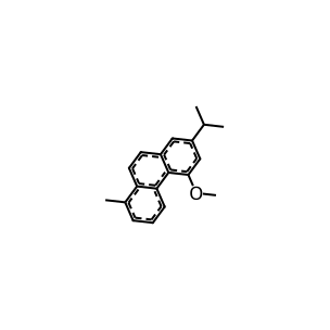 COc1cc(C(C)C)cc2ccc3c(C)cccc3c12